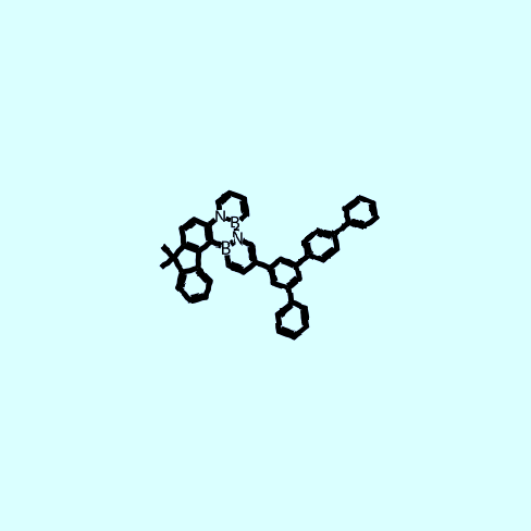 CC1(C)c2ccccc2-c2c1ccc1c2B2C=CC(c3cc(-c4ccccc4)cc(-c4ccc(-c5ccccc5)cc4)c3)=CN2B2C=CC=CN21